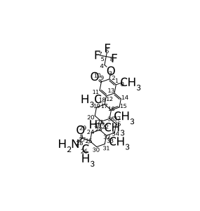 CC1=C(OCC(F)(F)F)C(=O)C=C2C1=CC=C1[C@@]2(C)CC[C@@]2(C)[C@@H]3C[C@](C)(C(N)=O)CC[C@]3(C)CC[C@]12C